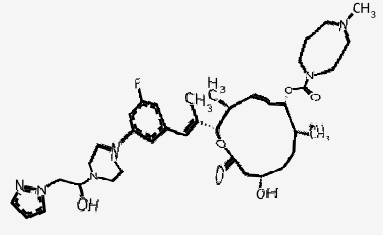 C/C(=C\c1cc(F)cc(N2CCN(C(O)Cn3cccn3)CC2)c1)[C@H]1OC(=O)C[C@H](O)CC[C@H](C)[C@@H](OC(=O)N2CCCN(C)CC2)/C=C/[C@@H]1C